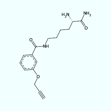 C#CCOc1cccc(C(=O)NCCCC[C@H](N)C(N)=O)c1